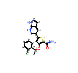 CC(Oc1cc(-c2cnc3[nH]ccc3c2)sc1C(N)=O)c1ccccc1Cl